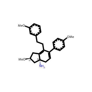 COc1ccc(C2=CC[C@@]3(N)C[C@@H](OC)CC3=C2CCc2cccc(OC)c2)cc1